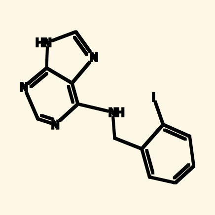 Ic1ccccc1CNc1ncnc2[nH]cnc12